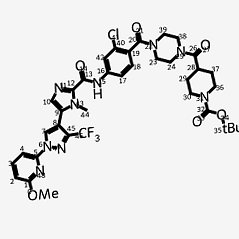 COc1cccc(-n2cc(-c3cnc(C(=O)Nc4ccc(C(=O)N5CCN(C(=O)C6CCN(C(=O)OC(C)(C)C)CC6)CC5)c(Cl)c4)n3C)c(C(F)(F)F)n2)n1